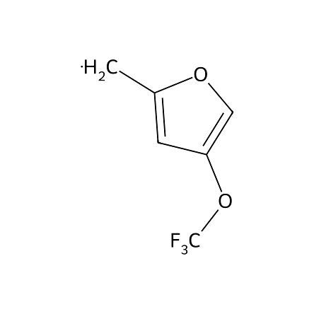 [CH2]c1cc(OC(F)(F)F)co1